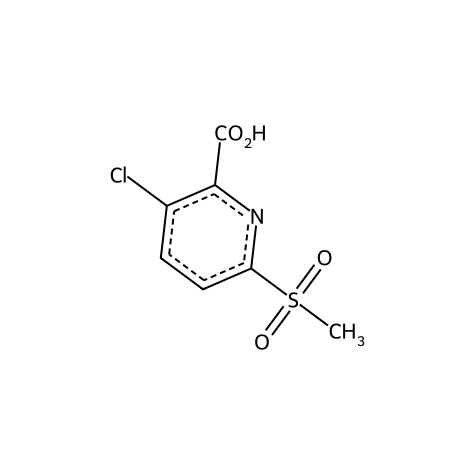 CS(=O)(=O)c1ccc(Cl)c(C(=O)O)n1